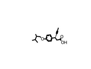 CC#C[C@@H](CC(=O)O)c1ccc(OCC(C)C(C)C)cc1